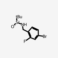 CC(C)(C)[S+]([O-])NCc1ccc(Br)cc1F